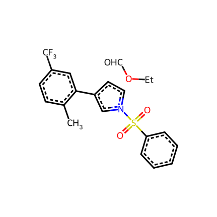 CCOC=O.Cc1ccc(C(F)(F)F)cc1-c1ccn(S(=O)(=O)c2ccccc2)c1